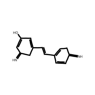 N=C1C=CC(C=CC2=CC(O)=CC(=N)C2)=CC1